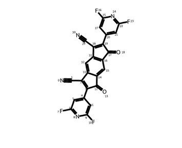 N#Cc1c(-c2cc(F)nc(F)c2)c(=O)c2cc3c(=O)c(-c4cc(F)nc(F)c4)c(C#N)c3cc12